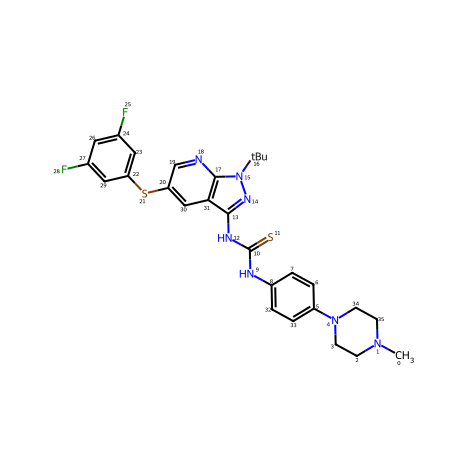 CN1CCN(c2ccc(NC(=S)Nc3nn(C(C)(C)C)c4ncc(Sc5cc(F)cc(F)c5)cc34)cc2)CC1